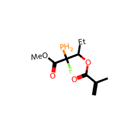 C=C(C)C(=O)OC(CC)C(F)(P)C(=O)OC